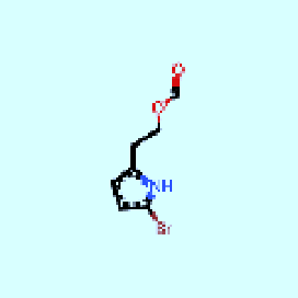 O=COCCc1ccc(Br)[nH]1